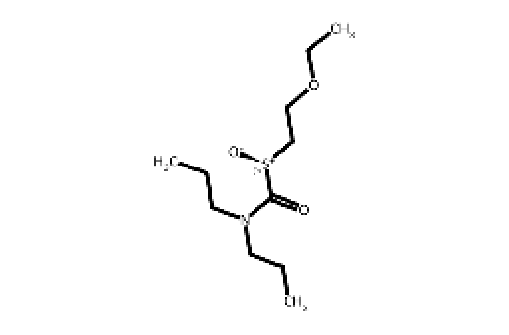 CCCN(CCC)C(=O)[S@@+]([O-])CCOCC